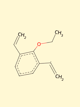 C=[C]c1cccc(C=C)c1OCC